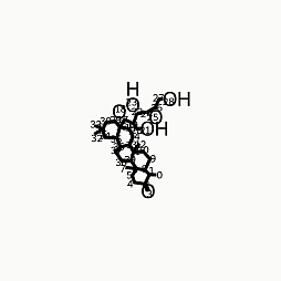 CC1C(=O)CCC2(C)C1CCC1(C)C3CCC4(C(=O)C(CO)C(O)C5OC5CO)CCC(C)(C)CC4C3=CCC12